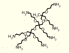 CC(COCCCN)(COCCCN)COCC(COCCCN)(COCCCN)COCC(COCCCN)(COCCCN)COOCCCN